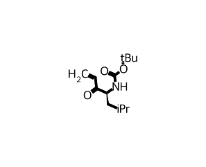 C=CC(=O)[C@H](CC(C)C)NC(=O)OC(C)(C)C